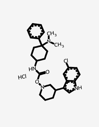 CN(C)C1(c2ccccc2)CCC(NC(=O)ON2CCCC(c3c[nH]c4ccc(Cl)cc34)C2)CC1.Cl